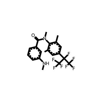 CNc1cccc(C(=O)N(C)c2c(C)cc(C(F)(C(F)(F)F)C(F)(F)F)cc2C)c1